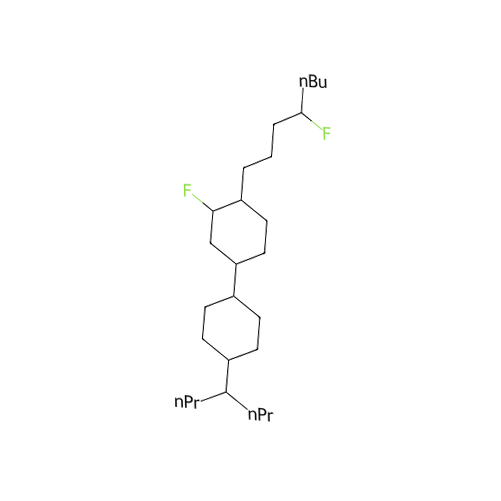 CCCCC(F)CCCC1CCC(C2CCC(C(CCC)CCC)CC2)CC1F